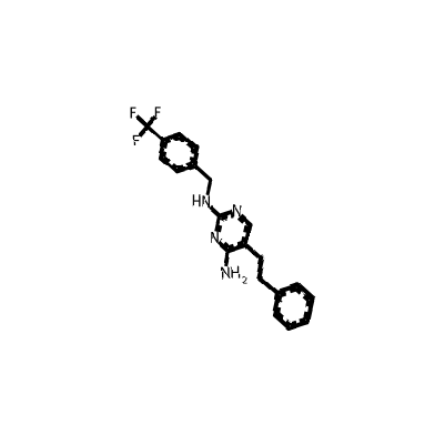 Nc1nc(NCc2ccc(C(F)(F)F)cc2)ncc1CCc1ccccc1